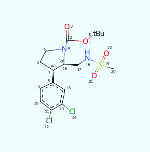 CC(C)(C)OC(=O)N1CC[C@H](c2ccc(Cl)c(Cl)c2)[C@@H]1CNS(C)(=O)=O